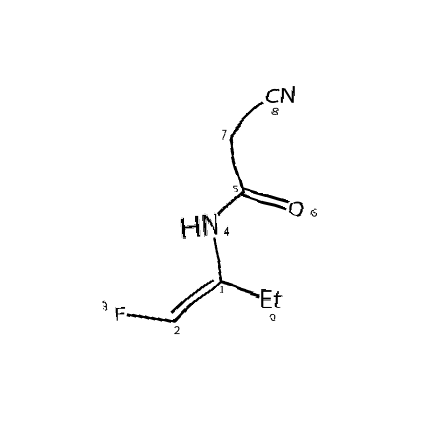 CC/C(=C/F)NC(=O)CC#N